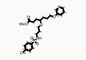 COC(=O)CCC(CCCOc1cccnc1)OCCCNS(=O)(=O)c1ccc(Cl)cc1